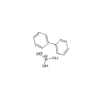 O[SiH](O)O.c1ccc(-c2ccccc2)cc1